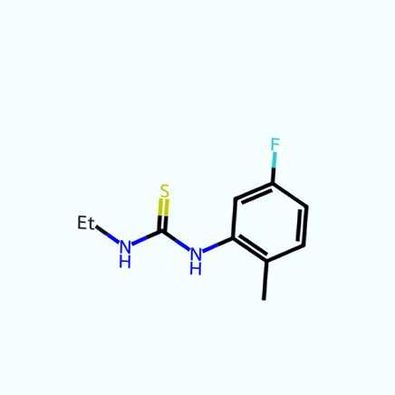 CCNC(=S)Nc1cc(F)ccc1C